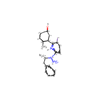 CB(Cc1ccccc1)N(N)c1ccc(I)c(C2CC(=O)CCC2C)n1